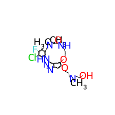 C[C@H]1C(=O)NCCCOc2cc3c(ncnc3cc2OCCCN(C)CCO)Nc2cc(Cl)c(F)cc2CN1C